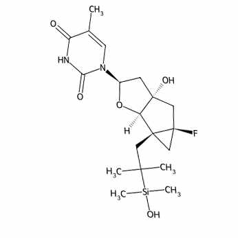 Cc1cn([C@H]2C[C@@]3(O)C[C@]4(F)C[C@]4(CC(C)(C)[Si](C)(C)O)[C@H]3O2)c(=O)[nH]c1=O